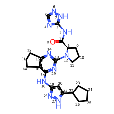 O=C(Nc1ncn[nH]1)[C@H]1CCCN1c1nc2c(c(Nc3cc(C4CCCC4)[nH]n3)n1)CCC2